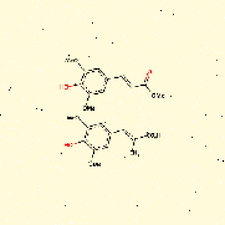 COC(=O)C=Cc1cc(OC)c(O)c(OC)c1.COc1cc(C=C(C)C(=O)O)cc(OC)c1O